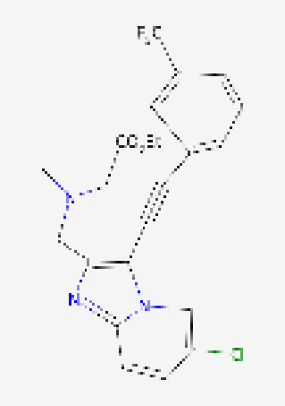 CCOC(=O)CN(C)Cc1nc2ccc(Cl)cn2c1C#Cc1cccc(C(F)(F)F)c1